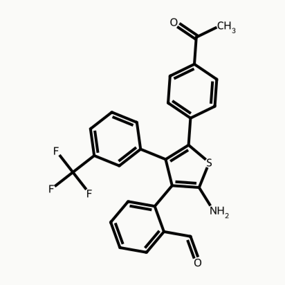 CC(=O)c1ccc(-c2sc(N)c(-c3ccccc3C=O)c2-c2cccc(C(F)(F)F)c2)cc1